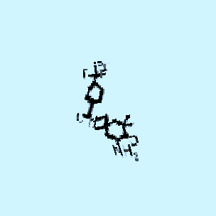 CC(C)C(F)(F)c1ccc(C(=O)N2CC3(C=C(N)C(=O)C(C)(C)C3)C2)cc1